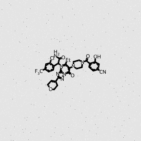 CCc1c(N2CCN(C(=O)c3ccc(C#N)cc3O)CC2)c(=O)n2nc(C3=CCOCC3)nc2n1C(C(N)=O)c1ccc(C(F)(F)F)cc1Cl